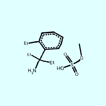 CCc1ccccc1C(N)(CC)CC.COS(=O)(=O)O